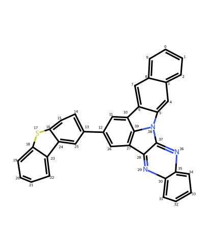 c1ccc2cc3c(cc2c1)c1cc(-c2ccc4sc5ccccc5c4c2)cc2c4nc5ccccc5nc4n3c12